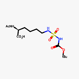 CC(=O)N[C@@H](CCCCNS(=O)(=O)NC(=O)OC(C)(C)C)C(=O)O